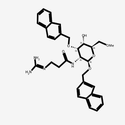 COC[C@H]1O[C@@H](OCc2ccc3ccccc3c2)[C@H](NC(=O)CCN=C(N)N)[C@H](OCc2ccc3ccccc3c2)[C@@H]1O